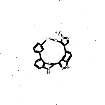 Cn1ncc2c1CNCc1cccc(c1)-c1cccc3[nH]c(nc13)-c1n[nH]c3ccc-2cc13